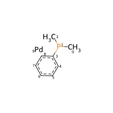 CP(C)c1ccccc1.[Pd]